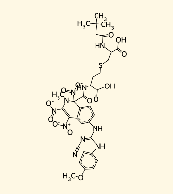 COc1ccc(NC(=NC#N)Nc2ccc3c(c2)C([N+](=O)[O-])=C([N+](=O)[O-])N(C)C3(C(=O)NC(CCSCC(NC(=O)CC(C)(C)C)C(=O)O)C(=O)O)[N+](=O)[O-])cc1